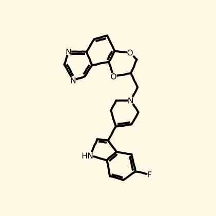 Fc1ccc2[nH]cc(C3=CCN(CC4COc5ccc6ncncc6c5O4)CC3)c2c1